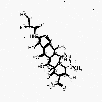 CC1c2ccc(NC(=O)C(Br)CS)c(O)c2C(=O)C2=C(O)C3(O)C(=O)C(C(N)=O)=C(O)[C@@H](N(C)C)C3C(O)C21